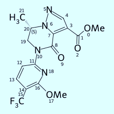 COC(=O)c1cnn2c1C(=O)N(c1ccc(C(F)(F)F)c(OC)n1)C[C@@H]2C